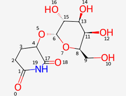 O=C1CCC(O[C@H]2O[C@H](CO)[C@H](O)[C@H](O)[C@H]2O)C(=O)N1